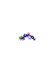 CN(C)c1ccc(CNC(=O)c2cn3ccc(-c4noc(C(F)(F)F)n4)cc3n2)cc1